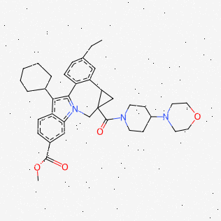 CCc1ccc2c(c1)C1CC1(C(=O)N1CCC(N3CCOCC3)CC1)Cn1c-2c(C2CCCCC2)c2ccc(C(=O)OC)cc21